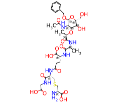 CC(=O)N[C@H]1[C@@H](OCc2ccccc2)O[C@H](CO)[C@@H](O)[C@@H]1O[C@H](C)C(=O)N[C@@H](C)C(=O)N[C@H](CCC(=O)N[C@H](CSC[C@H](N)C(=O)O)C(=O)NCC(=O)O)C(=O)O